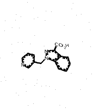 O=C(O)c1nn(Cc2cccnc2)c2ccccc12